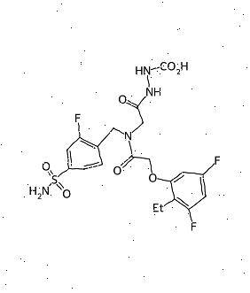 CCc1c(F)cc(F)cc1OCC(=O)N(CC(=O)NNC(=O)O)Cc1ccc(S(N)(=O)=O)cc1F